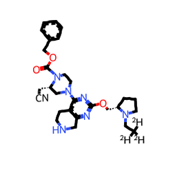 [2H]C([2H])([2H])CN1CCC[C@H]1COc1nc2c(c(N3CCN(C(=O)OCc4ccccc4)[C@@H](CC#N)C3)n1)CCNC2